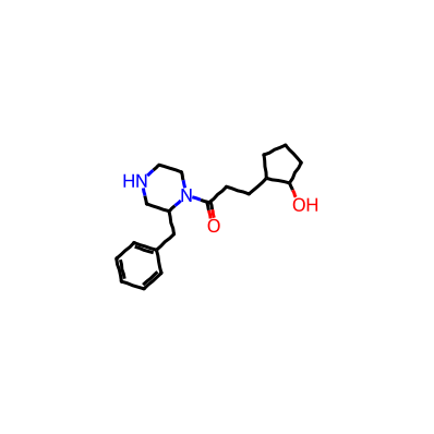 O=C(CCC1CCCC1O)N1CCNCC1Cc1ccccc1